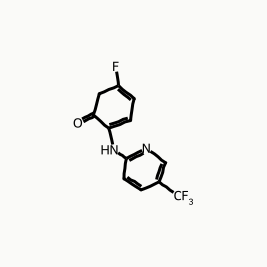 O=C1CC(F)=CC=C1Nc1ccc(C(F)(F)F)cn1